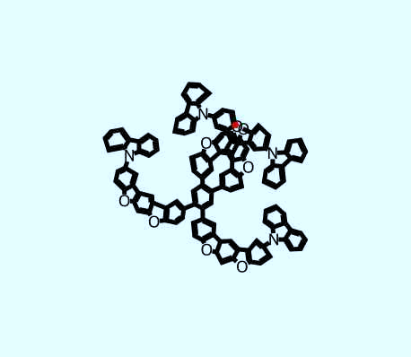 C1=c2oc3ccc(-n4c5ccccc5c5ccccc54)cc3c2=CC2c3cc(-c4cc(-c5ccc6oc7cc8oc9ccc(-n%10c%11ccccc%11c%11ccccc%11%10)cc9c8cc7c6c5)c(-c5ccc6oc7cc8oc9ccc(-n%10c%11ccccc%11c%11ccccc%11%10)cc9c8cc7c6c5)cc4-c4ccc5oc6cc7oc8ccc(-n9c%10ccccc%10c%10ccccc%109)cc8c7cc6c5c4)ccc3OC12